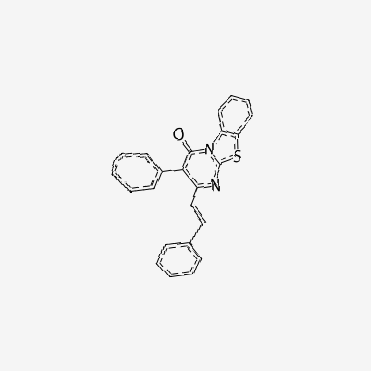 O=c1c(-c2ccccc2)c(/C=C/c2ccccc2)nc2sc3ccccc3n12